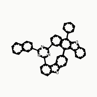 c1ccc(-c2nc(-c3ccc4ccccc4c3)nc(-c3cccc4oc5ccc(-c6ccc(-c7ccccc7)c7oc8ccccc8c67)cc5c34)n2)cc1